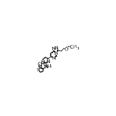 CCOCCc1nnc2cc(-c3ccnc(Nc4ccnn4C)n3)ncn12